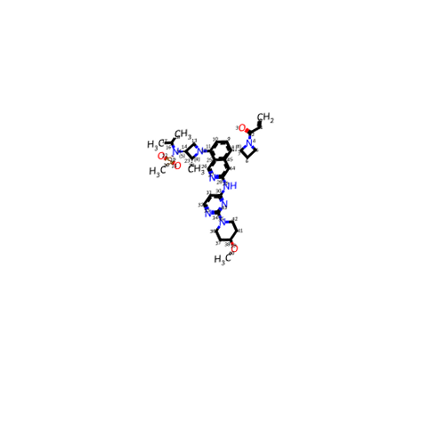 C=CC(=O)N1CC[C@@H]1c1ccc(N2C[C@H](N(C(C)C)S(C)(=O)=O)[C@H]2C)c2cnc(Nc3ccnc(N4CCC(OC)CC4)n3)cc12